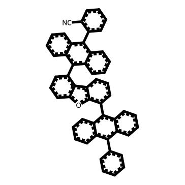 N#Cc1ccccc1-c1c2ccccc2c(-c2cccc3oc4c(-c5c6ccccc6c(-c6ccccc6)c6ccccc56)cccc4c23)c2ccccc12